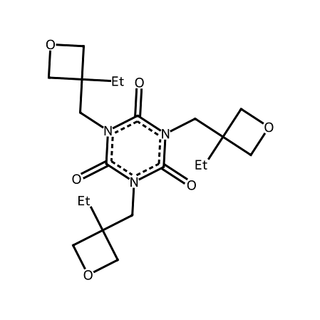 CCC1(Cn2c(=O)n(CC3(CC)COC3)c(=O)n(CC3(CC)COC3)c2=O)COC1